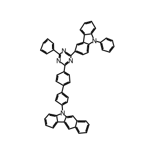 c1ccc(-c2nc(-c3ccc(-c4ccc(-n5c6ccccc6c6cc7ccccc7cc65)cc4)cc3)nc(-c3ccc4c(c3)c3ccccc3n4-c3ccccc3)n2)cc1